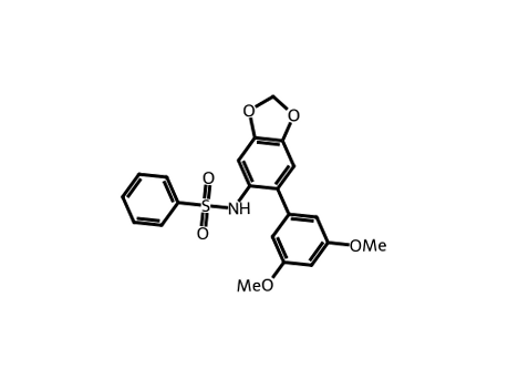 COc1cc(OC)cc(-c2cc3c(cc2NS(=O)(=O)c2ccccc2)OCO3)c1